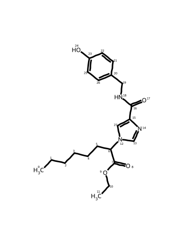 CCCCCCC(C(=O)OCC)n1cnc(C(=O)NCc2ccc(O)cc2)c1